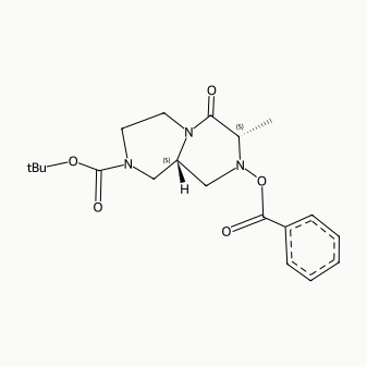 C[C@H]1C(=O)N2CCN(C(=O)OC(C)(C)C)C[C@H]2CN1OC(=O)c1ccccc1